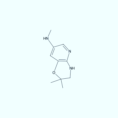 CNc1cnc2c(c1)OC(C)(C)CN2